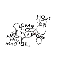 CC[C@]1(O)C[C@@H]2C[N@@](CCc3c([nH]c4ccccc34)[C@@](C(=O)OC)(c3cc4c(cc3OC)N(C)C3[C@]45CCN4CC=C[C@](CC)(C45)[C@@H](O)[C@]3(O)C(=O)OC)C2)C1